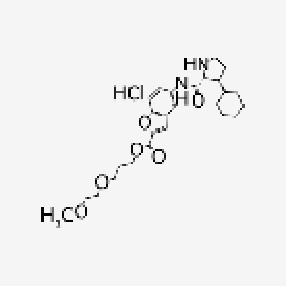 COCCOCCCOC(=O)c1cc2cc(NC(=O)[C@@H]3NCC[C@H]3C3CCCCC3)ccc2o1.Cl